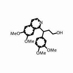 COc1ccc(C(CCO)c2nccc3cc(OC)c(OC)cc23)cc1OC